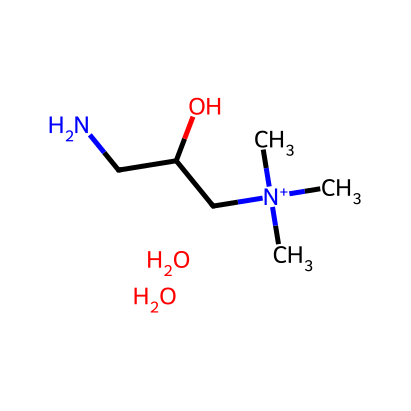 C[N+](C)(C)CC(O)CN.O.O